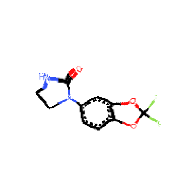 O=C1NCCN1c1ccc2c(c1)OC(F)(F)O2